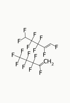 C=C(F)C(F)(F)C(F)(F)C(F)(F)F.FC=C(F)C(F)(F)C(F)(F)C(F)F